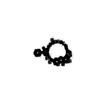 CC1C(c2ccccc2)CC2NC(=O)c3cnc4c(c3)C[C@@]3(C4)C(=O)Nc4ncc(cc43)/C=C/COCCNCCN1C2=O